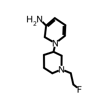 NC1=CC=CN(C2CCCN(CCF)C2)C1